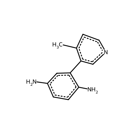 Cc1ccncc1-c1cc(N)ccc1N